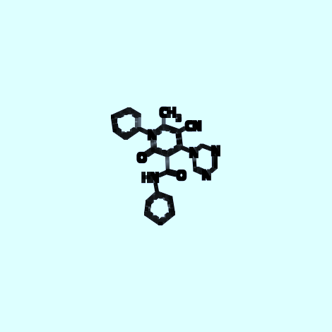 Cc1c(C#N)c(N2C=NC=NC2)c(C(=O)Nc2ccccc2)c(=O)n1-c1ccccc1